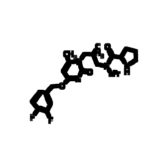 CCCN(CC(C)Cn1c(C)cc(OCc2ccc(F)c(F)c2)nc1=O)C(=O)C1CCCN1